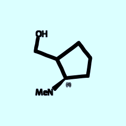 CN[C@@H]1CCCC1CO